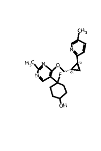 Cc1ccc([C@H]2C[C@@H]2COc2nc(C)ncc2C2(F)CCC(O)CC2)nc1